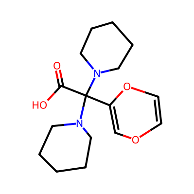 O=C(O)C(C1=COC=CO1)(N1CCCCC1)N1CCCCC1